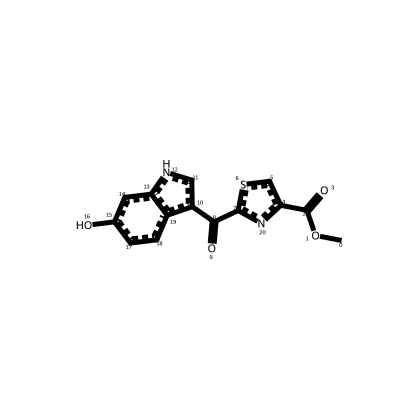 COC(=O)c1csc(C(=O)c2c[nH]c3cc(O)ccc23)n1